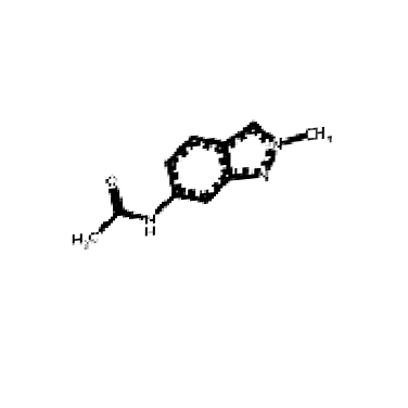 CC(=O)Nc1ccc2cn(C)nc2c1